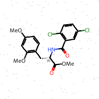 COC(=O)[C@H](Cc1ccc(OC)cc1OC)NC(=O)c1cc(Cl)ccc1Cl